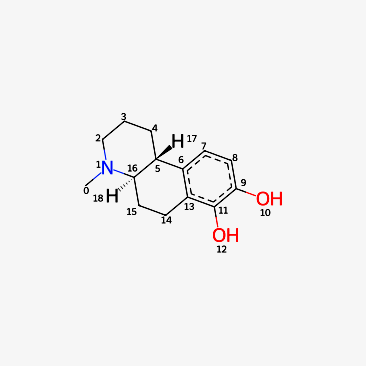 CN1CCC[C@@H]2c3ccc(O)c(O)c3CC[C@H]21